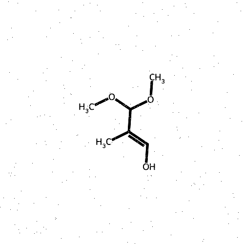 COC(OC)C(C)=CO